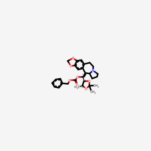 C[C@@H]1OC(C)(C)O[C@@H]1/C(OC(=O)OCc1ccccc1)=C1/c2cc3c(cc2CCN2CCCC12)OCO3